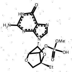 CC[C@@]12COC(C1OP(=O)(O)OC)[C@H](n1cnc3c(=O)[nH]c(N)nc31)O2